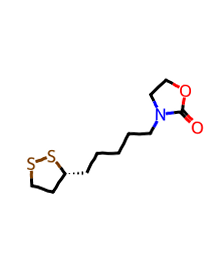 O=C1OCCN1CCCCC[C@@H]1CCSS1